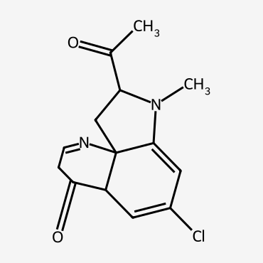 CC(=O)C1CC23N=CCC(=O)C2C=C(Cl)C=C3N1C